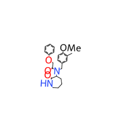 COc1ccc(CN(C(=O)COc2ccccc2)[C@H]2CCCCNC2=O)cc1C